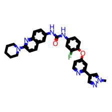 Cn1cc(-c2cc(Oc3ccc(NC(=O)Nc4ccc5nc(N6CCCCC6)ccc5c4)cc3F)ccn2)cn1